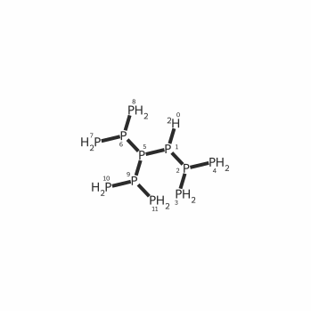 [2H]P(P(P)P)P(P(P)P)P(P)P